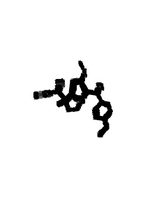 CCc1ccc(C(=O)c2c(SC)cc3n2CCC3(C)C(=O)O)cc1